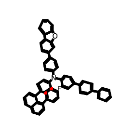 Fc1ccc(-c2cccc3cccc(-c4ccc(N(c5ccc(-c6ccc(-c7ccccc7)cc6)cc5)c5ccc(-c6ccc7c(c6)oc6ccccc67)cc5)cc4)c23)cc1